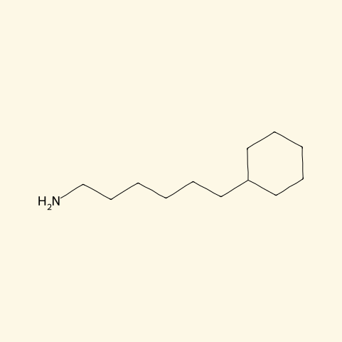 NCCCCCCC1CCCCC1